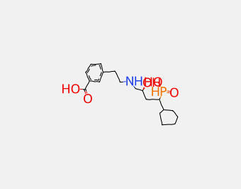 O=C(O)c1cccc(CCNC[C@@H](O)CC(C2CCCCC2)[PH](=O)O)c1